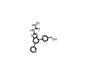 CCNC(=O)Nc1nc2cc(-c3cccnc3)cc(-c3ccc(CO)cn3)c2s1